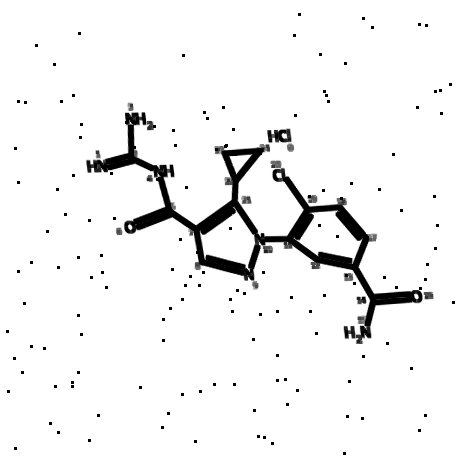 Cl.N=C(N)NC(=O)c1cnn(-c2cc(C(N)=O)ccc2Cl)c1C1CC1